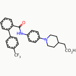 O=C(O)CC1CCN(c2ccc(NC(=O)c3ccccc3-c3ccc(C(F)(F)F)cc3)cc2)CC1